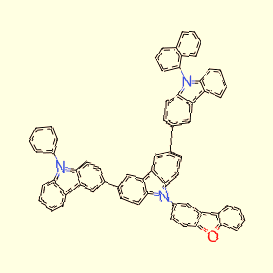 c1ccc(-n2c3ccccc3c3cc(-c4ccc5c(c4)c4cc(-c6ccc7c(c6)c6ccccc6n7-c6cccc7ccccc67)ccc4n5-c4ccc5oc6ccccc6c5c4)ccc32)cc1